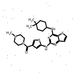 CN1CCN(C(=O)c2csc(Nc3nc(NC4CCC(C)(C)CC4)c4sccc4n3)c2)CC1